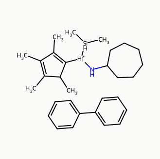 CC1=C(C)C(C)[C]([Hf]([NH]C2CCCCCC2)[SiH](C)C)=C1C.c1ccc(-c2ccccc2)cc1